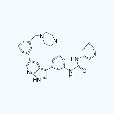 CN1CCN(Cc2cccc(-c3cnc4[nH]cc(-c5cccc(NC(=O)Nc6ccccc6)c5)c4c3)c2)CC1